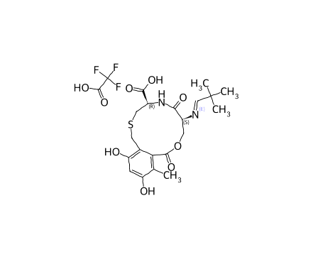 Cc1c(O)cc(O)c2c1C(=O)OC[C@H](/N=C/C(C)(C)C)C(=O)N[C@H](C(=O)O)CSC2.O=C(O)C(F)(F)F